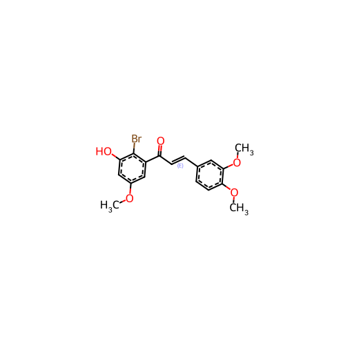 COc1cc(O)c(Br)c(C(=O)/C=C/c2ccc(OC)c(OC)c2)c1